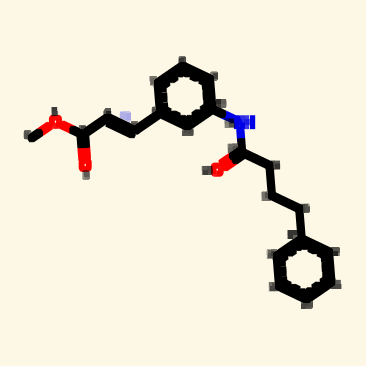 COC(=O)/C=C/c1cccc(NC(=O)CCCc2ccccc2)c1